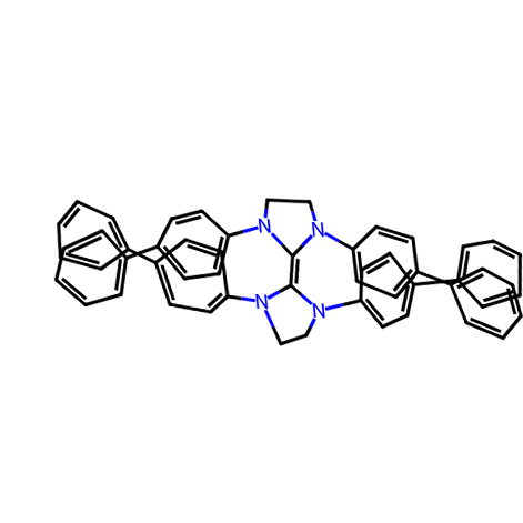 c1ccc(-c2ccc(N3CCN(c4ccc(-c5ccccc5)cc4)C3=C3N(c4ccc(-c5ccccc5)cc4)CCN3c3ccc(-c4ccccc4)cc3)cc2)cc1